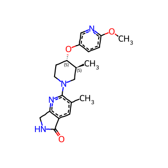 COc1ccc(O[C@H]2CCN(c3nc4c(cc3C)C(=O)NC4)C[C@@H]2C)cn1